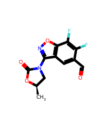 C[C@@H]1CN(c2noc3c(F)c(F)c(C=O)cc23)C(=O)O1